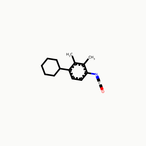 Cc1c(N=C=O)ccc(C2CCCCC2)c1C